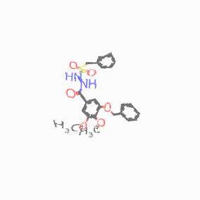 COc1cc(C(=O)NNS(=O)(=O)Cc2ccccc2)cc(OCc2ccccc2)c1OC